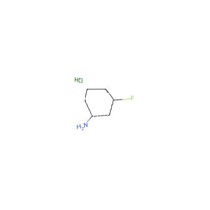 Cl.NC1CCCC(F)C1